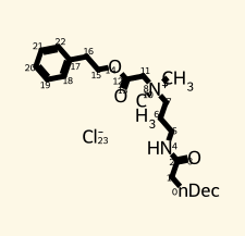 CCCCCCCCCCCC(=O)NCCC[N+](C)(C)CC(=O)OCCc1ccccc1.[Cl-]